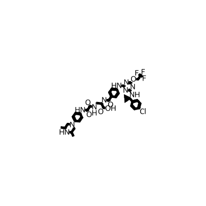 CC1CN(c2ccc(NC(=O)C(=O)NC/C(=N/C(=O)c3ccc(Nc4nc(NC5(c6ccc(Cl)cc6)CC5)nc(OCC(F)(F)F)n4)cc3)C(=O)O)cc2)CC(C)N1